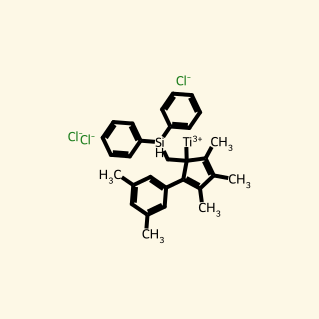 CC1=C(C)[C]([Ti+3])(C[SiH](c2ccccc2)c2ccccc2)C(c2cc(C)cc(C)c2)=C1C.[Cl-].[Cl-].[Cl-]